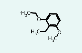 [CH2]COc1cccc(OC)c1CC